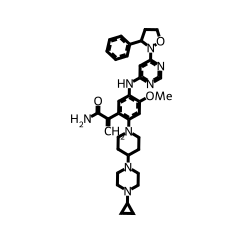 C=C(C(N)=O)c1cc(Nc2cc(N3OCCC3c3ccccc3)ncn2)c(OC)cc1N1CCC(N2CCN(C3CC3)CC2)CC1